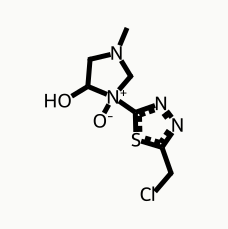 CN1CC(O)[N+]([O-])(c2nnc(CCl)s2)C1